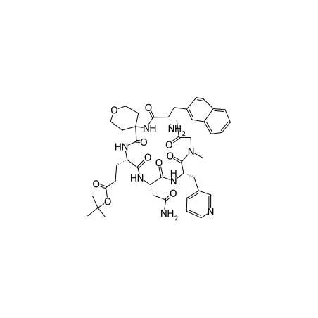 CC(=O)CN(C)C(=O)[C@H](Cc1cccnc1)NC(=O)[C@H](CC(N)=O)NC(=O)[C@H](CCC(=O)OC(C)(C)C)NC(=O)C1(NC(=O)[C@@H](N)Cc2ccc3ccccc3c2)CCOCC1